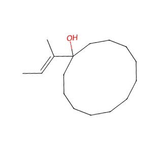 CC=C(C)C1(O)CCCCCCCCCCC1